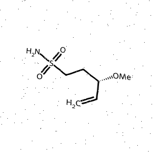 C=C[C@H](CCS(N)(=O)=O)OC